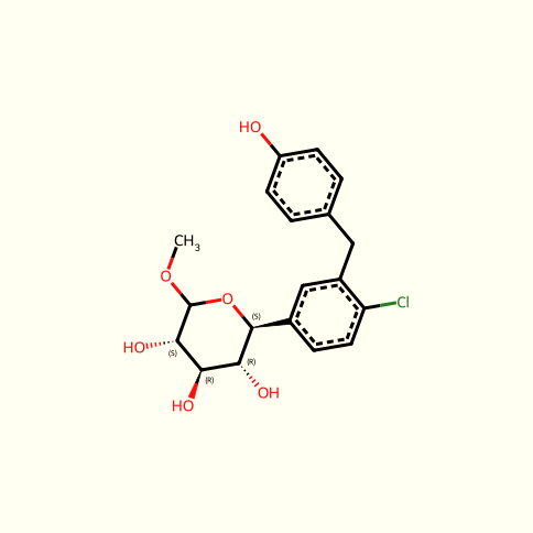 COC1O[C@@H](c2ccc(Cl)c(Cc3ccc(O)cc3)c2)[C@H](O)[C@@H](O)[C@@H]1O